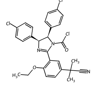 CCOc1ccc(C(C)(C)C#N)cc1C1=N[C@@H](c2ccc(Cl)cc2)[C@@H](c2ccc(Cl)cc2)N1C(=O)Cl